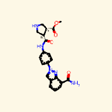 COC(=O)[C@H]1CNC[C@H]1C(=O)Nc1ccc(-n2cc3cccc(C(N)=O)c3n2)cc1